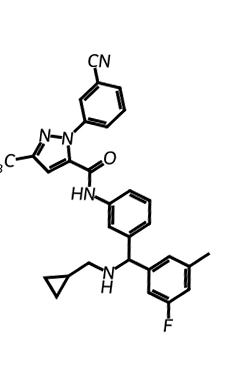 Cc1cc(F)cc(C(NCC2CC2)c2cccc(NC(=O)c3cc(C(F)(F)F)nn3-c3cccc(C#N)c3)c2)c1